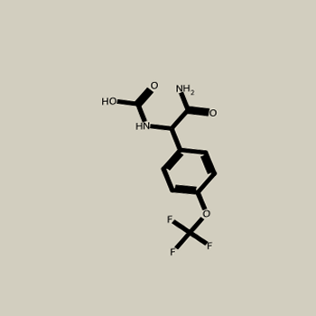 NC(=O)C(NC(=O)O)c1ccc(OC(F)(F)F)cc1